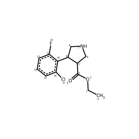 CCOC(=O)C1CNCC1c1c(F)cccc1Cl